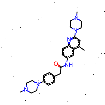 Cc1cc(N2CCN(C)CC2)nc2ccc(NC(=O)Cc3ccc(N4CCN(C)CC4)cc3)cc12